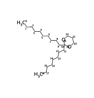 CCCCCCCCCCC1(CCCCCCCC)OCCCO1